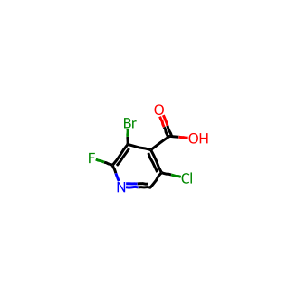 O=C(O)c1c(Cl)cnc(F)c1Br